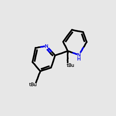 CC(C)(C)c1ccnc(C2(C(C)(C)C)C=CC=CN2)c1